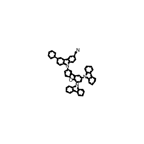 N#Cc1ccc2c(c1)c1cc(-c3ccccc3)ccc1n2-c1ccc2oc3c(-n4c5ccccc5c5ccccc54)cc(-n4c5ccccc5c5ccccc54)cc3c2c1